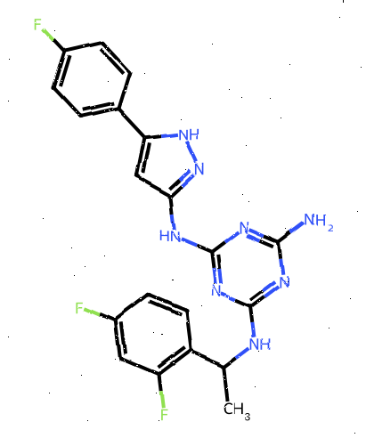 CC(Nc1nc(N)nc(Nc2cc(-c3ccc(F)cc3)[nH]n2)n1)c1ccc(F)cc1F